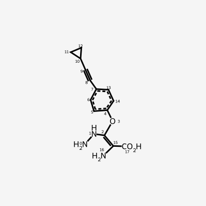 NN/C(Oc1ccc(C#CC2CC2)cc1)=C(\N)C(=O)O